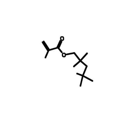 C=C(C)C(=O)OCC(C)(C)CC(C)(C)C